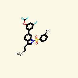 O=C(O)CCc1cn(S(=O)(=O)c2cccc(C(F)(F)F)c2)c2cc(-c3cc(F)cc(OC(F)F)c3)ccc12